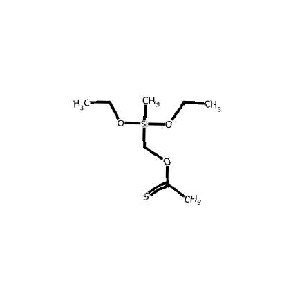 CCO[Si](C)(COC(C)=S)OCC